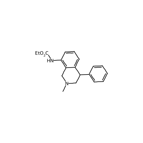 CCOC(=O)Nc1cccc2c1CN(C)CC2c1ccccc1